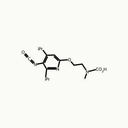 CC(C)c1cc(OCCN(C)C(=O)O)nc(C(C)C)c1N=C=O